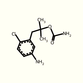 CC(C)(Cc1cc(N)ccc1Cl)OC(N)=O